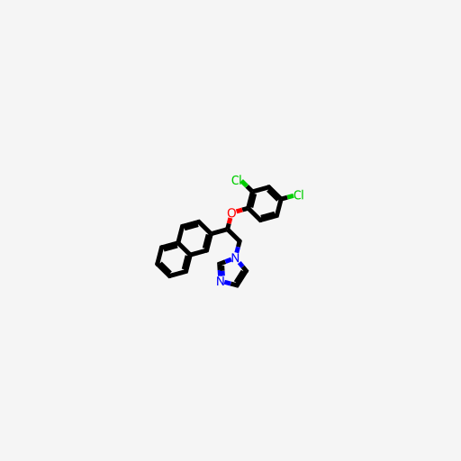 Clc1ccc(OC(Cn2ccnc2)c2ccc3ccccc3c2)c(Cl)c1